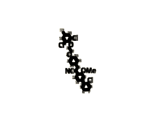 COc1cc(-c2ccccc2Cl)ccc1C(C#N)Cc1ccc(OCCOc2c(Cl)cc(C)cc2Cl)cc1